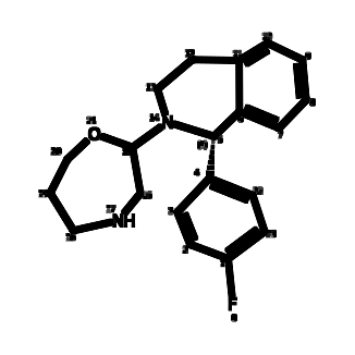 Fc1ccc([C@H]2c3ccccc3CCN2[C]2CNCCCO2)cc1